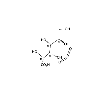 O=C(O)[C@H](O)[C@@H](O)[C@H](O)[C@H](O)CO.O=C=O